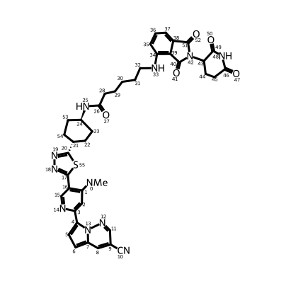 CNc1cc(-c2ccc3cc(C#N)cnn23)ncc1-c1nnc([C@H]2CC[C@H](NC(=O)CCCCCNc3cccc4c3C(=O)N(C3CCC(=O)NC3=O)C4=O)CC2)s1